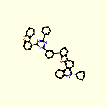 c1ccc(-c2nc(-c3cccc(-c4cccc5c4sc4c5ccc5c(-c6ccccc6)nc6ccccc6c54)c3)nc(-c3cccc4sc5ccccc5c34)n2)cc1